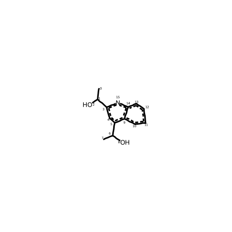 CC(O)c1cc(C(C)O)c2ccccc2n1